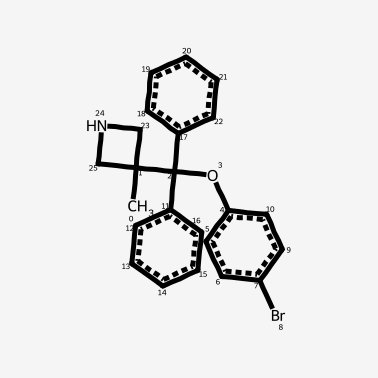 CC1(C(Oc2ccc(Br)cc2)(c2ccccc2)c2ccccc2)CNC1